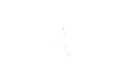 CC1(C)c2ccc(N(c3ccc(B4OC(C)(C)C(C)(C)O4)cc3)c3ccc(-c4ccccc4)cc3)cc2-c2cc(N(c3ccc(B4OC(C)(C)C(C)(C)O4)cc3)c3ccc(-c4ccccc4)cc3)ccc21